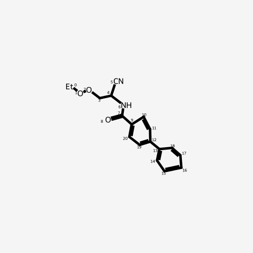 CCOOCC(C#N)NC(=O)c1ccc(-c2ccccc2)cc1